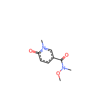 CON(C)C(=O)c1ccc(=O)n(C)c1